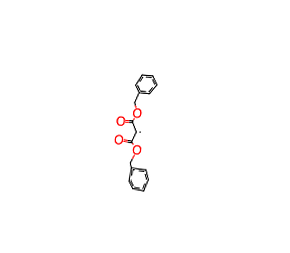 O=C([CH]C(=O)OCc1ccccc1)OCc1ccccc1